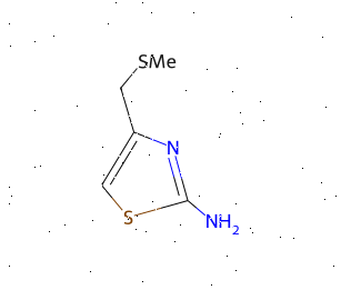 CSCc1csc(N)n1